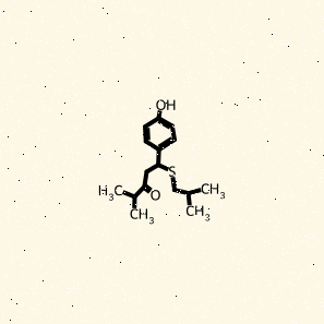 CC(C)CSC(CC(=O)C(C)C)c1ccc(O)cc1